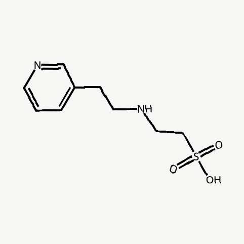 O=S(=O)(O)CCNCCc1cccnc1